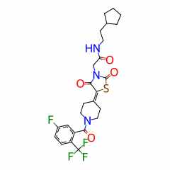 O=C(CN1C(=O)SC(=C2CCN(C(=O)c3cc(F)ccc3C(F)(F)F)CC2)C1=O)NCCC1CCCC1